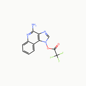 Nc1nc2ccccc2c2c1ncn2OC(=O)C(F)(F)F